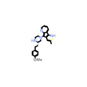 COc1ccc(CC[C@H]2CN(c3c4nccccc-4c4c3C=C(C)SN4)CCN2)cc1